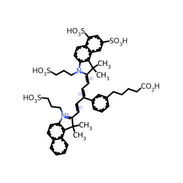 CC1(C)C(/C=C/C(=C/C=C2\N(CCCS(=O)(=O)O)c3ccc4c(S(=O)(=O)O)cc(S(=O)(=O)O)cc4c3C2(C)C)c2cccc(CCCCC(=O)O)c2)=[N+](CCCS(=O)(=O)O)c2ccc3ccccc3c21